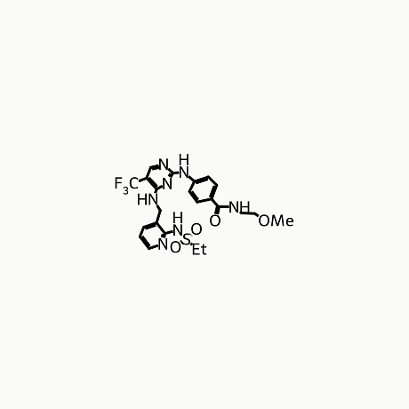 CCS(=O)(=O)Nc1ncccc1CNc1nc(Nc2ccc(C(=O)NCCOC)cc2)ncc1C(F)(F)F